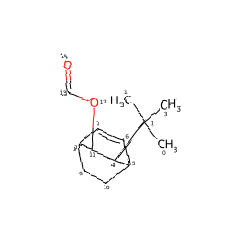 CC(C)(C)C1C2C=CC(CC2)C1OC=O